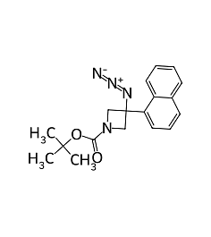 CC(C)(C)OC(=O)N1CC(N=[N+]=[N-])(c2cccc3ccccc23)C1